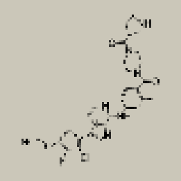 Cc1cc(Nc2nccn3c(-c4ccc(OCC#N)c(F)c4Cl)cnc23)ccc1C(=O)N1CCN(C(=O)C2CCNC2)CC1